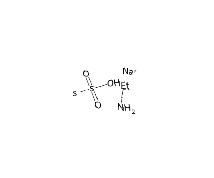 CCN.O=S(=O)(O)[S-].[Na+]